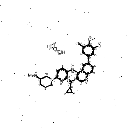 CNC1CCCN(c2ccc(Nc3c(C(=O)C4CC4)cnc4ccc(-c5cc(Cl)c(O)c(Cl)c5)cc34)cn2)C1.Cl.Cl.Cl